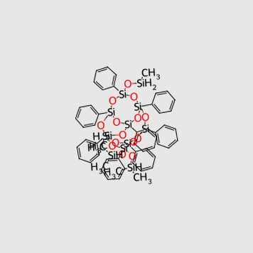 C[SiH2]O[Si]1(c2ccccc2)O[Si]2(c3ccccc3)O[Si](O[SiH2]C)(c3ccccc3)O[Si](c3ccccc3)(O1)O[Si]1(c3ccccc3)O[Si](O[SiH](C)C)(c3ccccc3)O[Si](c3ccccc3)(O[Si](O[SiH](C)C)(c3ccccc3)O1)O2